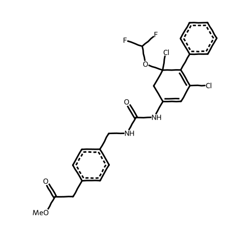 COC(=O)Cc1ccc(CNC(=O)NC2=CC(Cl)=C(c3ccccc3)C(Cl)(OC(F)F)C2)cc1